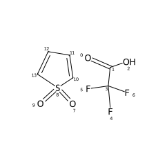 O=C(O)C(F)(F)F.O=S1(=O)C=CC=C1